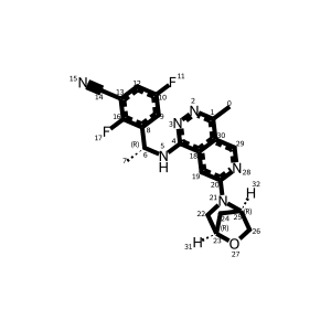 Cc1nnc(N[C@H](C)c2cc(F)cc(C#N)c2F)c2cc(N3C[C@H]4C[C@@H]3CO4)ncc12